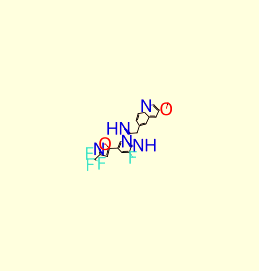 COc1cnc2ccc(CC(=N)n3cc(-c4cc(C(F)(F)F)no4)cc(F)c3=N)cc2c1